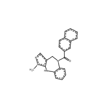 Cn1ncc2c1Nc1ccccc1N(C(=O)c1ccc3ccccc3c1)C2